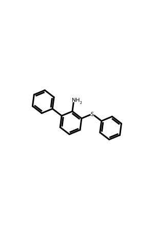 Nc1c(Sc2ccccc2)cccc1-c1ccccc1